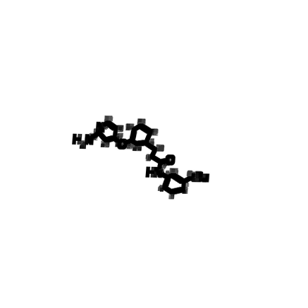 CC(C)(C)c1cccc(NC(=O)CCc2cccc(Oc3ccnc(N)c3)c2)c1